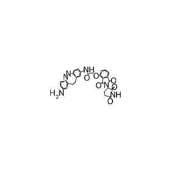 Nc1ccc2c(c1)CCc1cc(NC(=O)COc3cccc4c3C(=O)N(C3CCC(=O)NC3=O)C4=O)ccc1/N=N\2